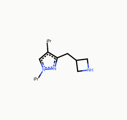 CC(C)c1cn(C(C)C)nc1CC1CNC1